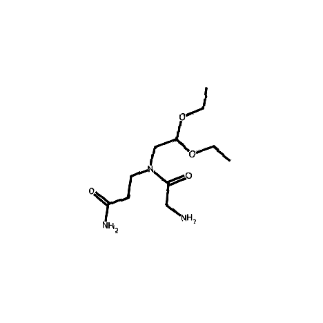 CCOC(CN(CCC(N)=O)C(=O)CN)OCC